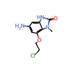 Cn1c(=O)[nH]c2cc(N)cc(OCCCl)c21